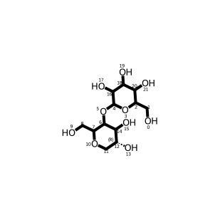 OCC1OC(OC2C(CO)OC[C@@H](O)C2O)C(O)C(O)C1O